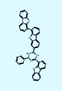 c1ccc(C2N=C(c3cccc4c3oc3ccccc34)NC(c3ccc4c(c3)oc3c(-c5cccc6c5sc5ccccc56)cccc34)N2)cc1